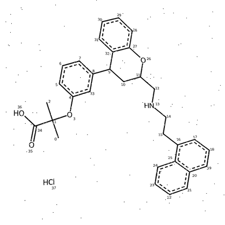 CC(C)(Oc1cccc(C2CC(CNCCc3cccc4ccccc34)Oc3ccccc32)c1)C(=O)O.Cl